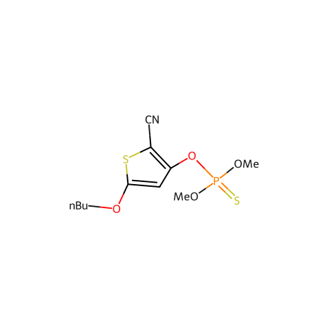 CCCCOc1cc(OP(=S)(OC)OC)c(C#N)s1